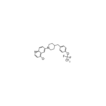 [O]c1ccnc2ccc(N3CCC(Cc4ccc(OC(F)(F)C(F)(F)F)cc4)CC3)cc12